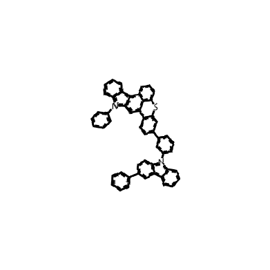 c1ccc(-c2ccc3c(c2)c2ccccc2n3-c2cccc(-c3ccc4c(c3)Sc3cccc5c3c-4cc3c5c4ccccc4n3-c3ccccc3)c2)cc1